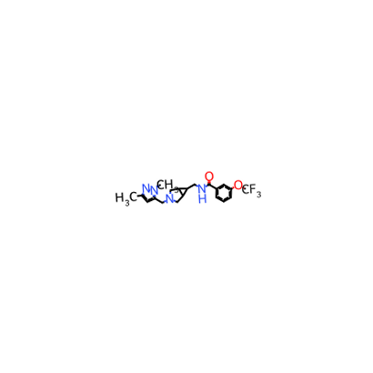 Cc1cc(CN2CC3C(CNC(=O)c4cccc(OC(F)(F)F)c4)C3C2)n(C)n1